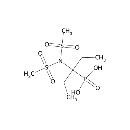 CCC(CC)(N(S(C)(=O)=O)S(C)(=O)=O)P(=O)(O)O